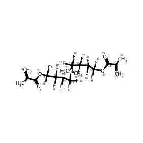 C=C(C)C(=O)OC(F)(F)C(F)(F)C(F)(F)C(F)(F)[Si](C)(C)C(F)(F)C(F)(F)C(F)(F)C(F)(F)OC(=O)C(=C)C